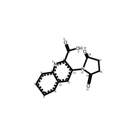 O=C(O)c1nc2ccccc2cc1N1C(=O)CCC1=O